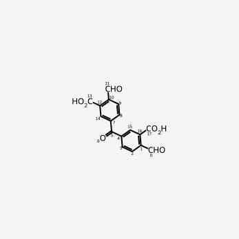 O=Cc1ccc(C(=O)c2ccc(C=O)c(C(=O)O)c2)cc1C(=O)O